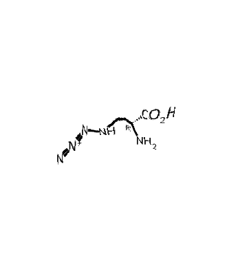 [N-]=[N+]=NNC[C@@H](N)C(=O)O